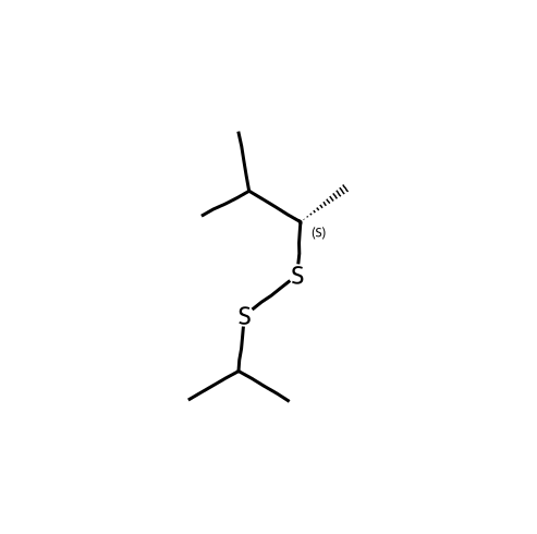 CC(C)SS[C@@H](C)C(C)C